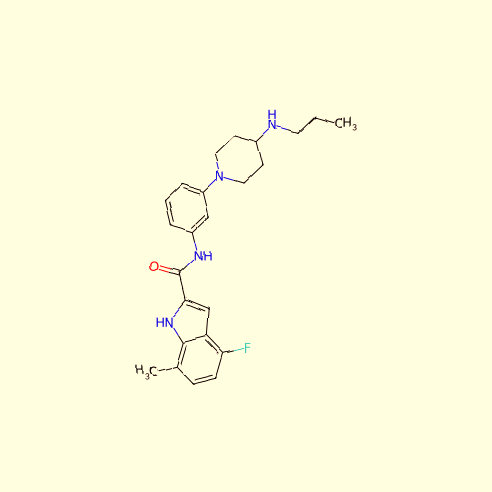 CCCNC1CCN(c2cccc(NC(=O)c3cc4c(F)ccc(C)c4[nH]3)c2)CC1